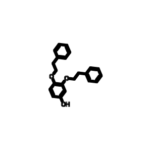 Oc1ccc(OCCc2ccccc2)c(OCCc2ccccc2)c1